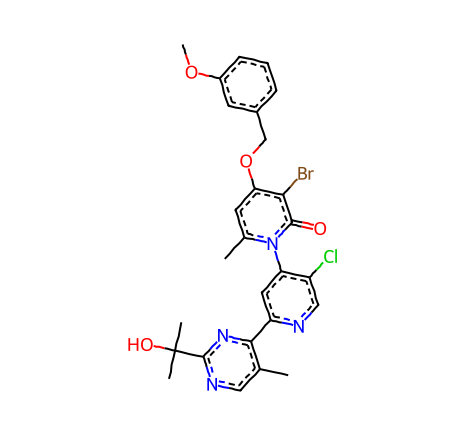 COc1cccc(COc2cc(C)n(-c3cc(-c4nc(C(C)(C)O)ncc4C)ncc3Cl)c(=O)c2Br)c1